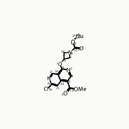 COC(=O)c1cnc(OC2CN(C(=O)OC(C)(C)C)C2)c2cnc(Cl)cc12